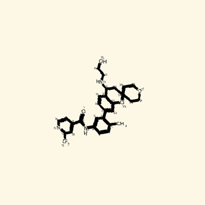 Cc1ccc(NC(=O)c2ccnc(C(F)(F)F)c2)cc1-c1ccc2c(c1)OC1(CCOCC1)CC2NCCO